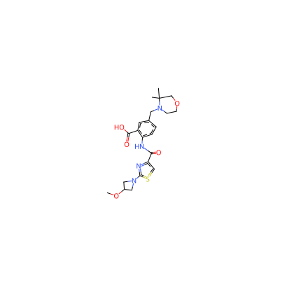 COC1CN(c2nc(C(=O)Nc3ccc(CN4CCOCC4(C)C)cc3C(=O)O)cs2)C1